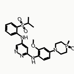 COc1cc(N2CCP(C)(=O)CC2)ccc1Nc1cc(Nc2ccccc2S(=O)(=O)C(C)C)cnn1